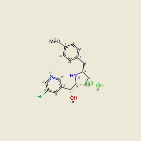 COc1ccc(C[C@H]2CC[C@H]([C@H](O)c3cncc(F)c3)N2)cc1.Cl.Cl